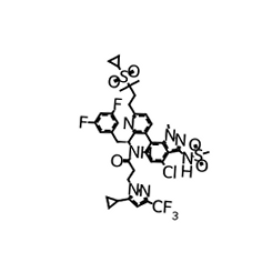 Cn1nc(NS(C)(=O)=O)c2c(Cl)ccc(-c3ccc(CCC(C)(C)S(=O)(=O)C4CC4)nc3[C@H](Cc3cc(F)cc(F)c3)NC(=O)CCn3nc(C(F)(F)F)cc3C3CC3)c21